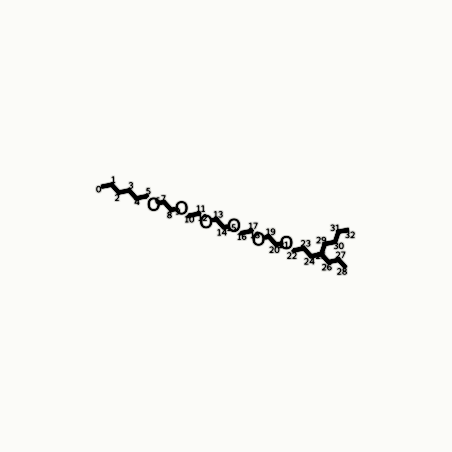 CCCCCCOCCOCCOCCOCCOCCOCCCC(CCC)CCCC